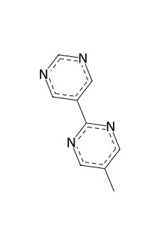 Cc1cnc(-c2cncnc2)nc1